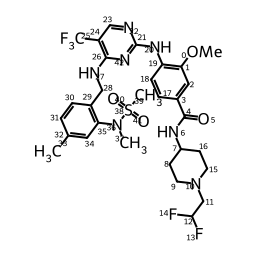 COc1cc(C(=O)NC2CCN(CC(F)F)CC2)ccc1Nc1ncc(C(F)(F)F)c(NCc2ccc(C)cc2N(C)S(C)(=O)=O)n1